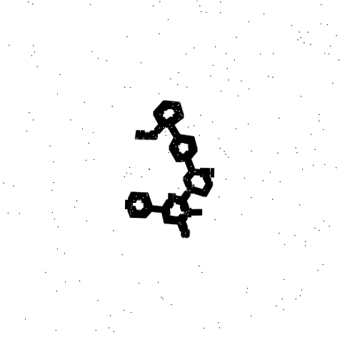 COc1ccccc1-c1ccc(C2CN(c3nc(-c4ccncc4)cc(=O)n3C)CCN2)cc1